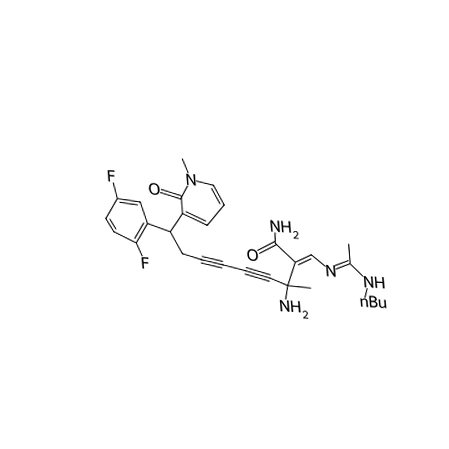 CCCCN/C(C)=N/C=C(/C(N)=O)C(C)(N)C#CC#CCC(c1cc(F)ccc1F)c1cccn(C)c1=O